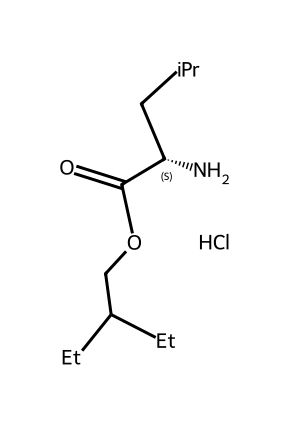 CCC(CC)COC(=O)[C@@H](N)CC(C)C.Cl